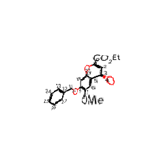 CCOC(=O)c1cc(=O)c2cc(OC)c(OCc3ccccc3)cc2o1